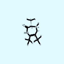 CC(C)[C@H]1C(=O)NC(C(C)(C)C)=C(C(C)(C)C)CN1C